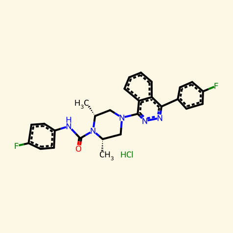 C[C@@H]1CN(c2nnc(-c3ccc(F)cc3)c3ccccc23)C[C@H](C)N1C(=O)Nc1ccc(F)cc1.Cl